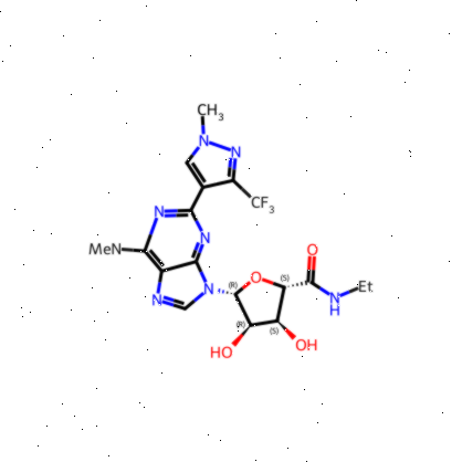 CCNC(=O)[C@H]1O[C@@H](n2cnc3c(NC)nc(-c4cn(C)nc4C(F)(F)F)nc32)[C@H](O)[C@@H]1O